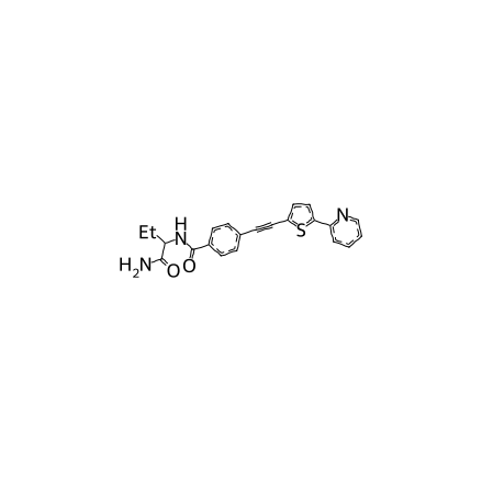 CCC(NC(=O)c1ccc(C#Cc2ccc(-c3ccccn3)s2)cc1)C(N)=O